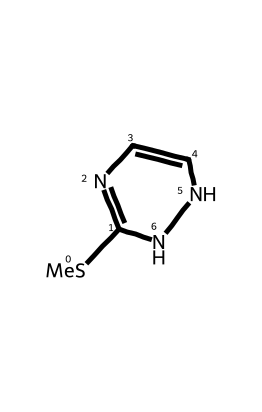 [CH2]SC1=NC=CNN1